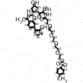 Cc1ccc(S(=O)(=O)OCCOCCOCCOCCOCCC(=O)NC(C(=O)N2C[C@H](O)C[C@H]2C(=O)NC(C)c2ccc(-c3scnc3C)cc2)C(C)(C)C)cc1